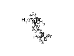 CC(=Nc1c(C)cccc1Br)c1cccc(CC=Nc2c(C(C)C)cccc2C(C)C)n1